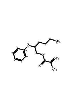 C=C(C)C(=O)OCC(CCCC)Oc1ccccc1